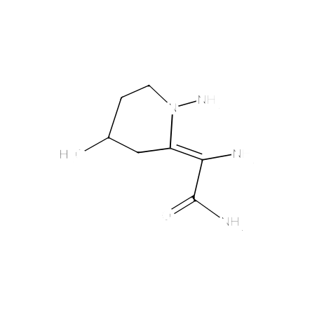 CC1CCN(N)/C(=C(\N)C(N)=O)C1